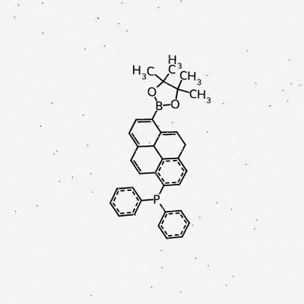 CC1(C)OB(C2=CC=C3C=Cc4c(P(c5ccccc5)c5ccccc5)ccc5c4C3C2=CC5)OC1(C)C